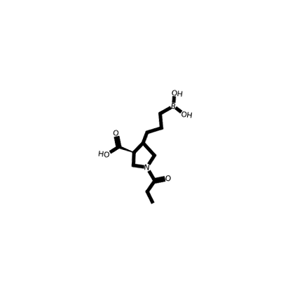 CCC(=O)N1CC(CCCB(O)O)[C@H](C(=O)O)C1